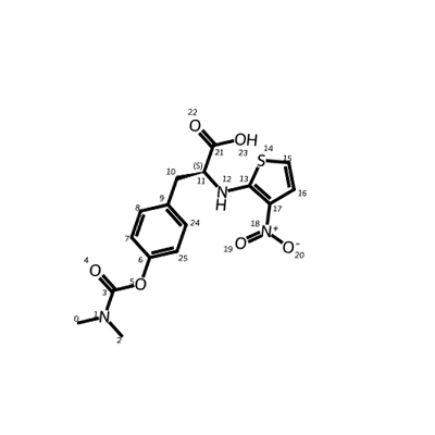 CN(C)C(=O)Oc1ccc(C[C@H](Nc2sccc2[N+](=O)[O-])C(=O)O)cc1